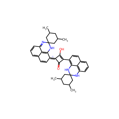 CC1CC(C)CC2(C1)N=c1cccc3cc/c(=C4\C(=O)C(c5ccc6cccc7c6c5NC5(CC(C)CC(C)C5)N7)=C4O)c(c13)N2